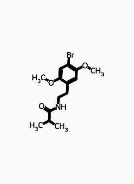 COc1cc(CCNC(=O)C(C)C)c(OC)cc1Br